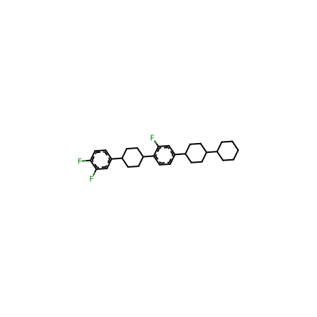 Fc1ccc(C2CCC(c3ccc(C4CCC(C5CCCCC5)CC4)cc3F)CC2)cc1F